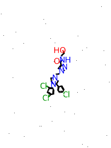 O=C(NCCO)c1cn(CCN2CCN(c3ccc(Cl)cc3Cl)C(c3ccc(Cl)cc3)C2)cn1